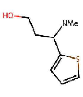 CNC(CCO)c1cccs1